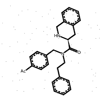 CC(=O)c1ccc(CN(CCc2ccccc2)C(=O)[C@@H]2Cc3ccccc3CN2)cc1